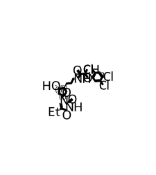 CCc1cn([C@H]2C[C@H](O)[C@@H](CCCNC(=O)C(C)Oc3cc(Cl)c(Cl)cc3Cl)O2)c(=O)[nH]c1=O